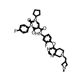 CN1CC(CN2CCc3c(ncnc3Oc3ccc(NC(=O)c4cn(C5CCCC5)c(=O)n(-c5ccc(F)cc5)c4=O)cc3F)C2)C1